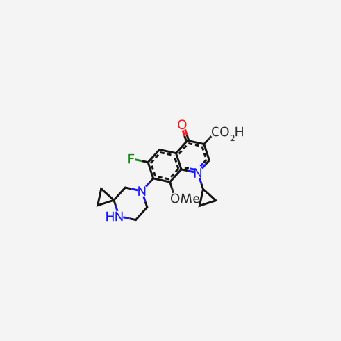 COc1c(N2CCNC3(CC3)C2)c(F)cc2c(=O)c(C(=O)O)cn(C3CC3)c12